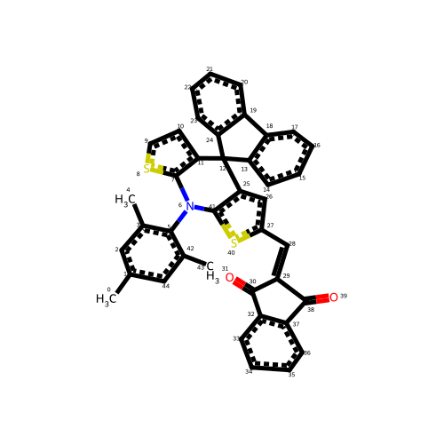 Cc1cc(C)c(N2c3sccc3C3(c4ccccc4-c4ccccc43)c3cc(C=C4C(=O)c5ccccc5C4=O)sc32)c(C)c1